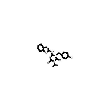 CC(C)n1c(=O)nc(Nc2nc3ccccc3o2)n(Cc2ccc(Cl)cc2)c1=O